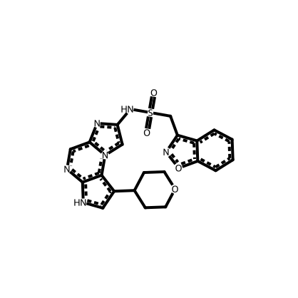 O=S(=O)(Cc1noc2ccccc12)Nc1cn2c(cnc3[nH]cc(C4CCOCC4)c32)n1